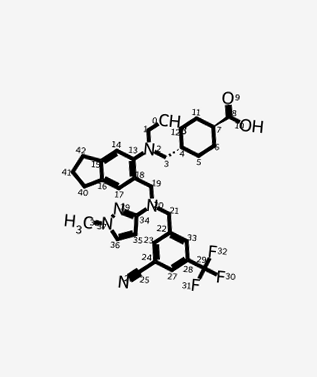 CCN(C[C@H]1CC[C@H](C(=O)O)CC1)c1cc2c(cc1CN(Cc1cc(C#N)cc(C(F)(F)F)c1)c1ccn(C)n1)CCC2